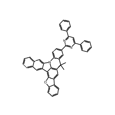 CC1(C)c2cc(-c3nc(-c4ccccc4)cc(-c4ccccc4)n3)ccc2-n2c3cc4ccccc4cc3c3c4oc5ccccc5c4cc1c32